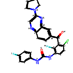 O=C(Nc1ccc(F)cc1)Nc1ccc(Cl)c(C(=O)c2ccc3ncc(N4CCCC4)nc3c2)c1F